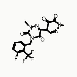 CN1N=CC(c2nn(C)c(=O)n(Cc3cccc(F)c3C(F)(F)F)c2=O)C(=O)C1=O